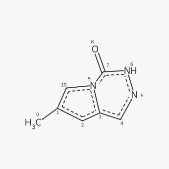 Cc1cc2cn[nH]c(=O)n2c1